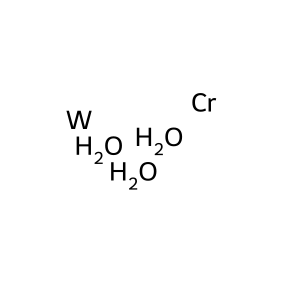 O.O.O.[Cr].[W]